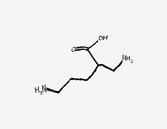 NCCCC(CN)C(=O)O